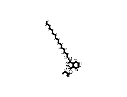 CCCCCCCCCCCCCCCCOC(=O)C1CC=CCC1C(=O)OC(C)CC